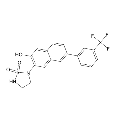 O=S1(=O)NCCN1c1cc2cc(-c3cccc(C(F)(F)F)c3)ccc2cc1O